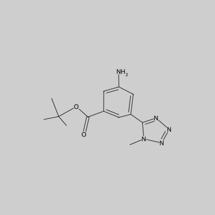 Cn1nnnc1-c1cc(N)cc(C(=O)OC(C)(C)C)c1